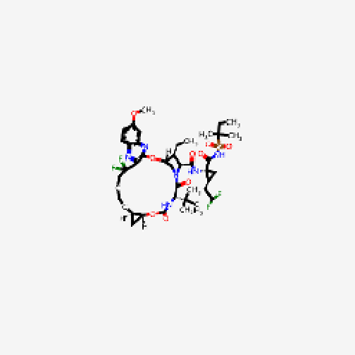 CC[C@@H]1[C@@H]2CN(C(=O)[C@H](C(C)(C)C)NC(=O)O[C@@H]3C[C@H]3CCCCC(F)(F)c3nc4ccc(OC)cc4nc3O2)[C@@H]1C(=O)N[C@]1(C(=O)NS(=O)(=O)C(C)(C)CC)C[C@H]1CC(F)F